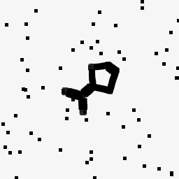 O=S(=O)=C1CC=CO1